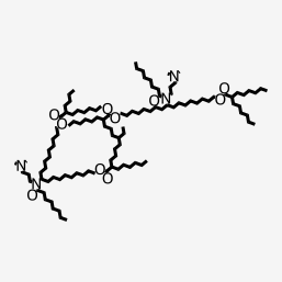 CCCCCCCC(=O)N(CCCN(C)C)C(CCCCCCCCCOC(=O)C(CCCC)CCCCCC)CCCCCCCCCOC(=O)C(CCCCCC)CCCCC(CC)CCCC(CCCCCC)C(=O)OCCCCCCCCC(CCCCCCCCOC(=O)C(CCCCCC)CCCCCC)N(CCCN(C)C)C(=O)CCCCCCC